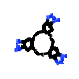 c1c2c(cc3[nH]nnc13)CCc1cc3[nH]nnc3cc1CCc1cc3nn[nH]c3cc1CCC2